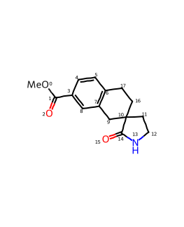 COC(=O)c1ccc2c(c1)CC1(CCNC1=O)CC2